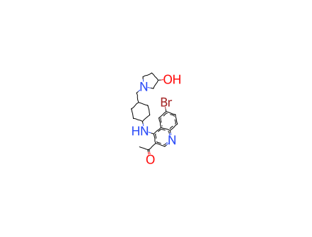 CC(=O)c1cnc2ccc(Br)cc2c1NC1CCC(CN2CCC(O)C2)CC1